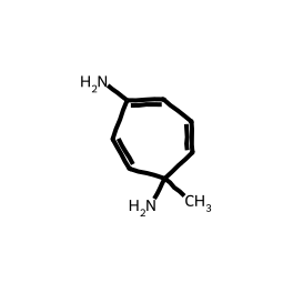 CC1(N)C=CC=C(N)C=C1